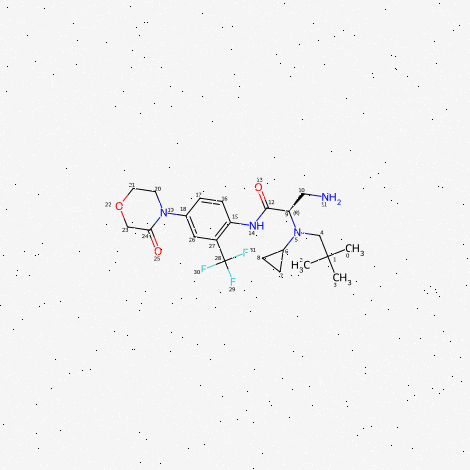 CC(C)(C)CN(C1CC1)[C@H](CN)C(=O)Nc1ccc(N2CCOCC2=O)cc1C(F)(F)F